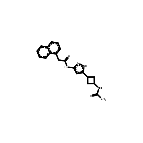 CC(=O)NC1CC(c2cc(NC(=O)Cc3cccc4ccccc34)n[nH]2)C1